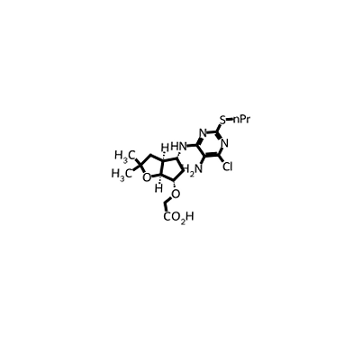 CCCSc1nc(Cl)c(N)c(N[C@@H]2C[C@H](OCC(=O)O)[C@H]3OC(C)(C)C[C@H]32)n1